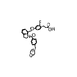 O=C(O)CCc1ccc(OCc2cccc3c2N(C(=O)c2ccc(CN4CCOCC4)cc2)CC3)cc1F